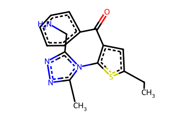 CCc1cc(C(=O)c2ccccc2)c(-n2c(C)nnc2CN)s1